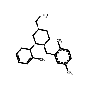 O=C(O)C[C@H]1CCN(Cc2cc(C(F)(F)F)ccc2C(F)(F)F)[C@@H](C2CC=CC=C2C(F)(F)F)C1